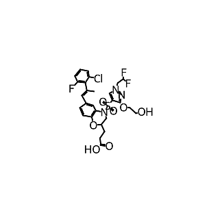 CC(=Cc1ccc2c(c1)N(S(=O)(=O)c1cn(CC(F)F)nc1OCCO)CC(CCC(=O)O)O2)c1c(F)cccc1Cl